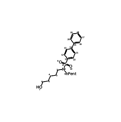 CCCCCN(CCCCCO)S(=O)(=O)c1ccc(-c2ccccc2)cc1